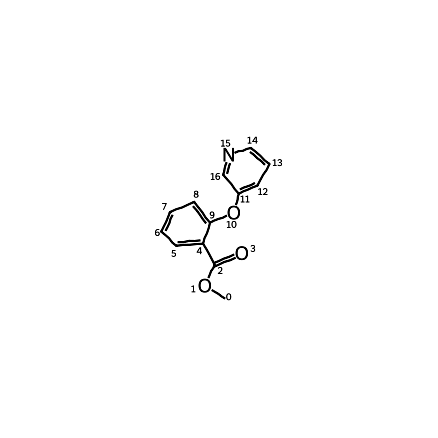 COC(=O)c1ccccc1Oc1cccnc1